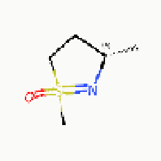 C[C@H]1CCS(C)(=O)=N1